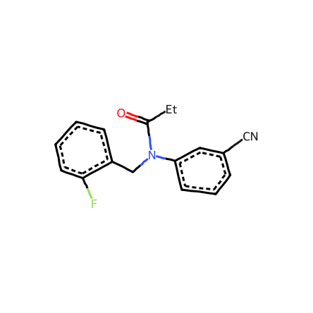 CCC(=O)N(Cc1ccccc1F)c1cccc(C#N)c1